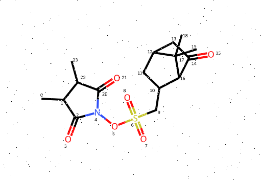 CC1C(=O)N(OS(=O)(=O)CC2CC3CC(=O)C2C3(C)C)C(=O)C1C